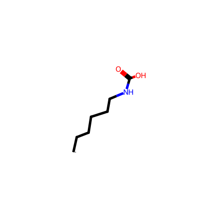 [CH2]CCCCCNC(=O)O